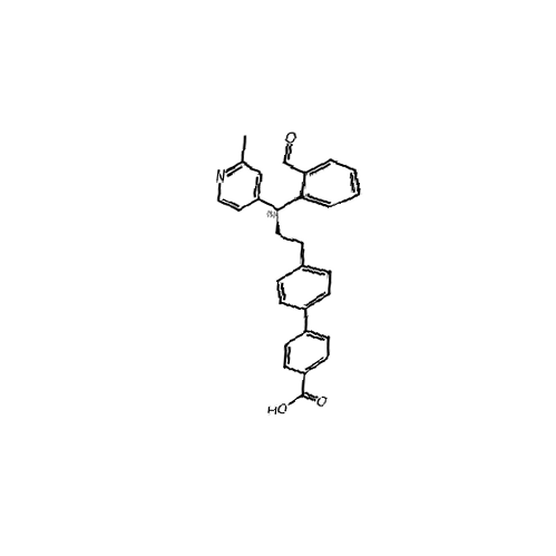 Cc1cc([C@H](CCc2ccc(-c3ccc(C(=O)O)cc3)cc2)c2ccccc2C=O)ccn1